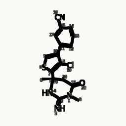 CN1C(=N)N[C@](C)(c2scc(-c3cccc(C#N)c3)c2Cl)CC1=O